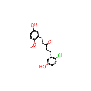 COc1ccc(O)cc1CCC(=O)CCc1cc(O)ccc1Cl